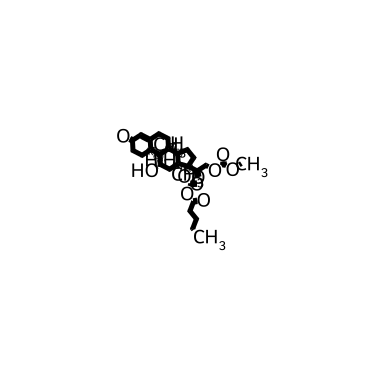 CCCCC(=O)OC(=O)O[C@]1(C(=O)COC(=O)OC)CC[C@H]2[C@@H]3CCC4=CC(=O)CC[C@]4(C)[C@H]3[C@@H](O)C[C@@]21C